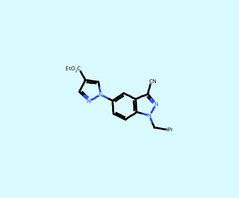 CCOC(=O)c1cnn(-c2ccc3c(c2)c(C#N)nn3CC(C)C)c1